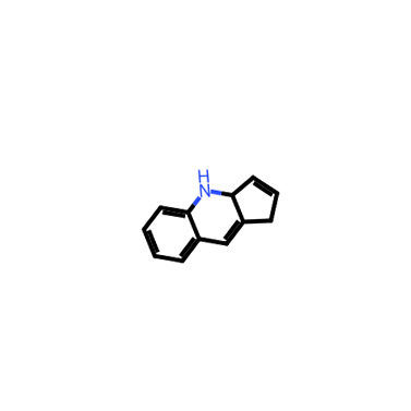 C1=CC2Nc3ccccc3C=C2C1